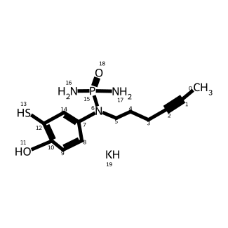 CC#CCCCN(c1ccc(O)c(S)c1)P(N)(N)=O.[KH]